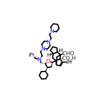 CC(C)CN(CCN1CCN(CCN2CCCCC2)CC1)C[C@@H]1O[C@@H](C23C[C@@H]4[C@H](C)CC[C@H]4C4(C=O)CC2C=C(C(C)C)[C@]43C(=O)O)C[C@H]1C1CCCCC1